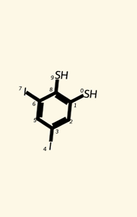 Sc1cc(I)cc(I)c1S